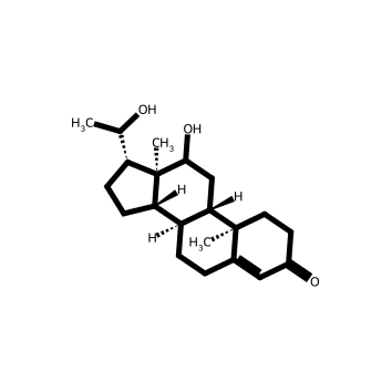 CC(O)[C@H]1CC[C@H]2[C@@H]3CCC4=CC(=O)CC[C@]4(C)[C@H]3CC(O)[C@]12C